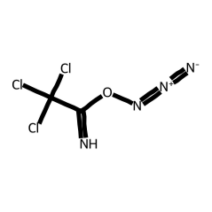 [N-]=[N+]=NOC(=N)C(Cl)(Cl)Cl